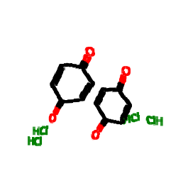 Cl.Cl.Cl.Cl.O=C1C=CC(=O)C=C1.O=C1C=CC(=O)C=C1